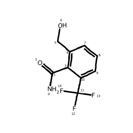 NC(=O)c1c(CO)cccc1C(F)(F)F